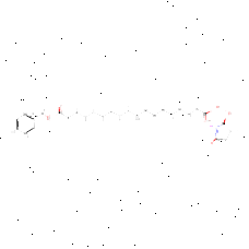 O=C(CCCCCCCCCCCCCCCCC(=O)ON1C(=O)CCC1=O)OCc1ccccc1